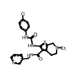 CCN1CCc2c(sc(NC(=O)Nc3ccc(Cl)cc3)c2C(=O)NCc2cccnc2)C1